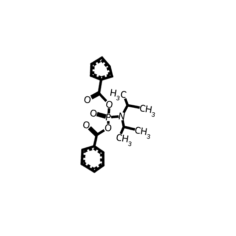 CC(C)N(C(C)C)P(=O)(OC(=O)c1ccccc1)OC(=O)c1ccccc1